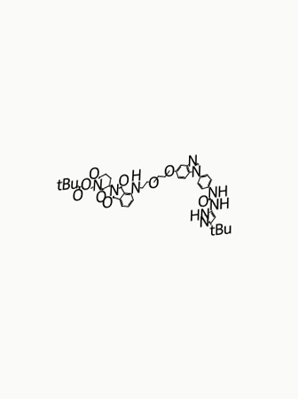 CC(C)(C)C(=O)OCN1C(=O)CCC(N2C(=O)c3cccc(NCCOCCOc4ccc5c(c4)ncn5-c4ccc(NC(=O)Nc5cc(C(C)(C)C)n[nH]5)cc4)c3C2=O)C1=O